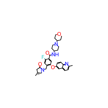 Cc1ccc2cc(Oc3cc(C(=O)NC4CCN(C5CCOCC5)CC4)c(F)cc3CN3C[C@@H](C)CC3=O)ccc2n1